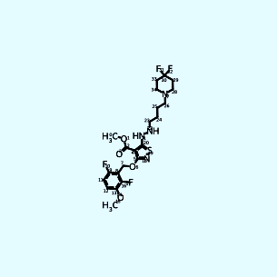 COC(=O)c1c(OCc2c(F)ccc(OC)c2F)nsc1NNCCCCN1CCC(F)(F)CC1